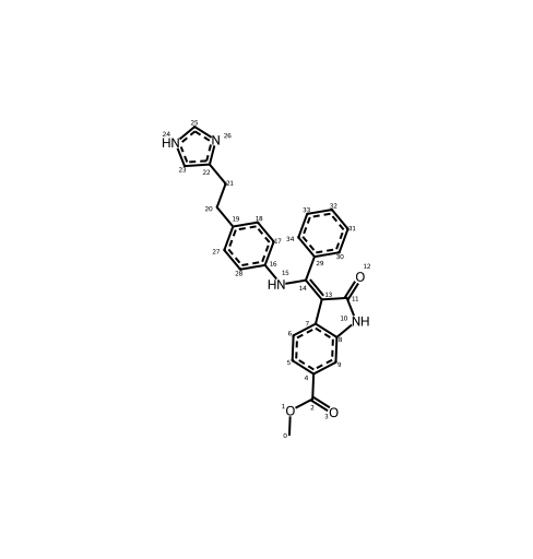 COC(=O)c1ccc2c(c1)NC(=O)C2=C(Nc1ccc(CCc2c[nH]cn2)cc1)c1ccccc1